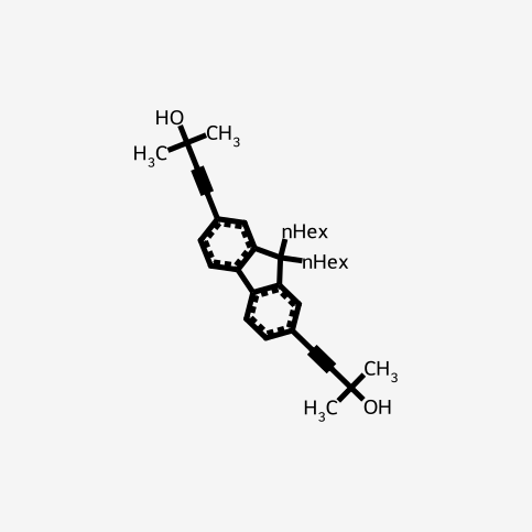 CCCCCCC1(CCCCCC)c2cc(C#CC(C)(C)O)ccc2-c2ccc(C#CC(C)(C)O)cc21